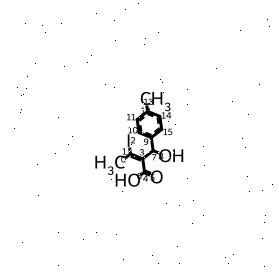 CC(I)=C(C(=O)O)C(O)c1ccc(C)cc1